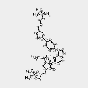 CC(C)C1CN(CC2COC(C)(C)O2)C(=O)N1c1ccn2ncc(-c3ccc(-c4ncn(COCC[Si](C)(C)C)n4)cc3)c2n1